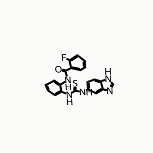 O=C(Nc1ccccc1NC(=S)Nc1ccc2[nH]cnc2c1)c1ccccc1F